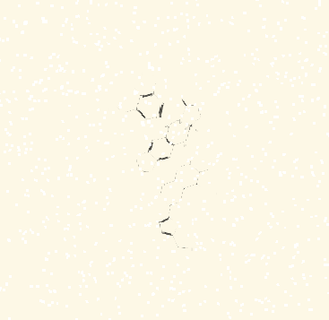 COc1cc([C@@H]2c3cc4c(cc3[C@@H](OC3OC5COC(c6ccc(CBr)s6)OC5C(C)C3C)[C@H]3COC(=O)[C@H]23)OCO4)cc(OC)c1C